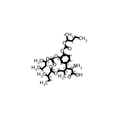 CCCC(C)OC(=O)Oc1ccc(C(C(C)COC(=O)C(C)CC)[C@H](N)C(=O)O)cc1OC(=O)OC(C)CCC